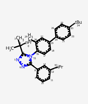 CCCC(C)(C)c1nnc(-c2cccc(C(C)C)c2)n1-c1ccc(-c2ccc(C(C)(C)C)cc2)cc1C